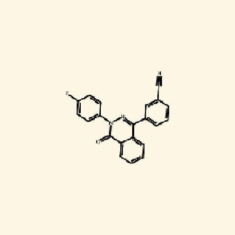 N#Cc1cccc(-c2nn(-c3ccc(F)cc3)c(=O)c3ccccc23)c1